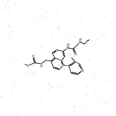 CCNC(=O)Nc1cc2c(-c3ccncc3C)ccc(CNC(=O)OC)c2cn1